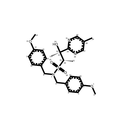 COc1ccc(CN(Cc2ccc(OC)cc2)S(=O)(=O)[C@@H](C)[C@@](C)(O)c2ncc(C)cn2)cc1